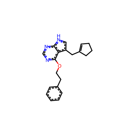 C1=C(Cc2c[nH]c3ncnc(OCCc4ccccc4)c23)CCC1